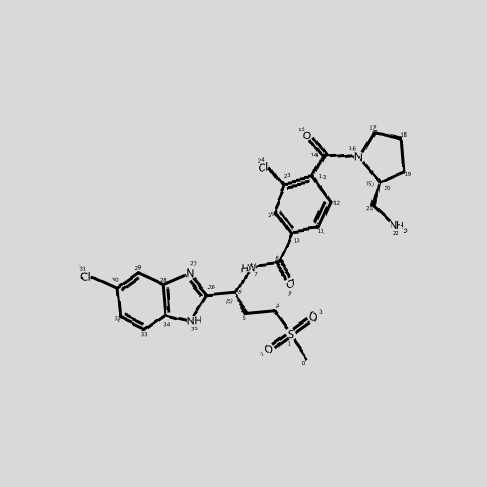 CS(=O)(=O)CC[C@H](NC(=O)c1ccc(C(=O)N2CCC[C@H]2CN)c(Cl)c1)c1nc2cc(Cl)ccc2[nH]1